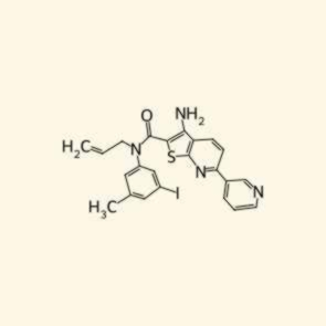 C=CCN(C(=O)c1sc2nc(-c3cccnc3)ccc2c1N)c1cc(C)cc(I)c1